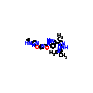 Cc1cnc(Nc2cc(C)n(C)n2)nc1-c1c[nH]c2c(NC(=O)CN3CC[C@H](Oc4nccc(NC5CC5)n4)C3)cccc12